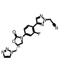 N#CCn1ncc(-c2ccc(N3C[C@H](Cn4ccnn4)OC3=O)cc2F)n1